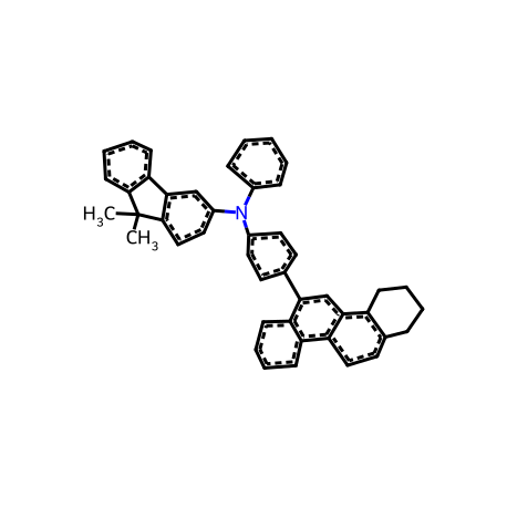 CC1(C)c2ccccc2-c2cc(N(c3ccccc3)c3ccc(-c4cc5c6c(ccc5c5ccccc45)CCCC6)cc3)ccc21